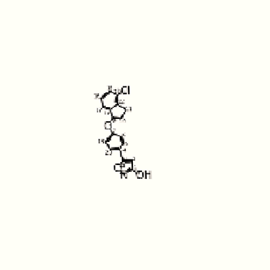 Oc1cc(-c2ccc(OC3CCc4c(Cl)cccc43)cc2)on1